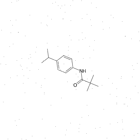 CC(C)c1ccc(NC(=O)C(C)(C)C)cc1